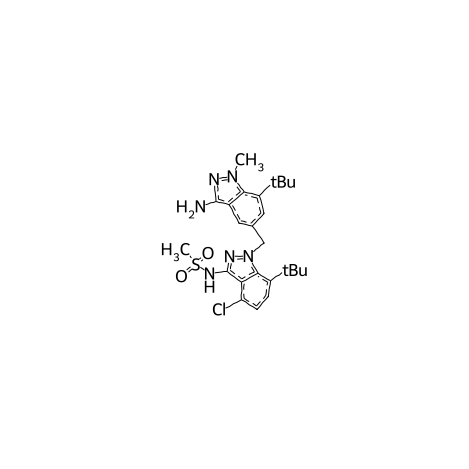 Cn1nc(N)c2cc(Cn3nc(NS(C)(=O)=O)c4c(Cl)ccc(C(C)(C)C)c43)cc(C(C)(C)C)c21